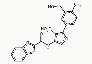 Cc1ccc(-c2occ(NC(=O)c3nc4ccccc4o3)c2C(=O)O)cc1CO